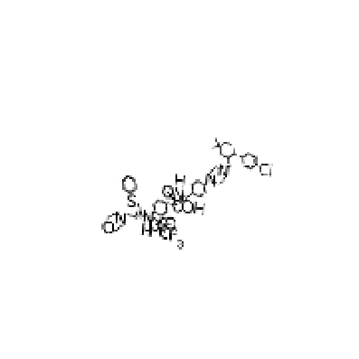 CC1(C)CCC(c2ccc(Cl)cc2)=C(CN2CCN(c3ccc(C(O)NS(=O)(=O)c4ccc(N[C@@H](CCN5CCOCC5)CSc5ccccc5)c(S(=O)(=O)C(F)(F)F)c4)cc3)CC2)C1